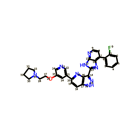 Fc1ccccc1-c1ccnc2[nH]c(-c3n[nH]c4ccc(-c5cncc(OCCN6CCCC6)c5)nc34)nc12